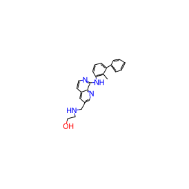 Cc1c(Nc2nccc3cc(CNCCO)cnc23)cccc1-c1ccccc1